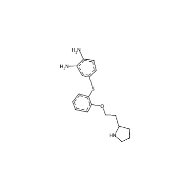 Nc1ccc(Sc2ccccc2OCCC2CCCN2)cc1N